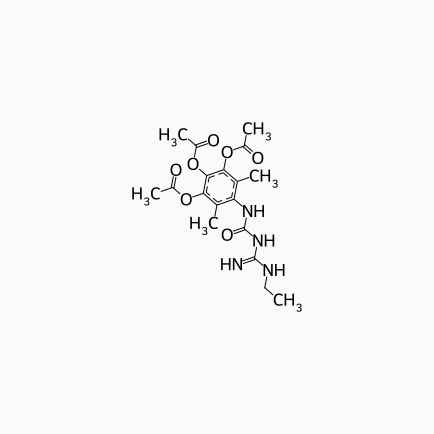 CCNC(=N)NC(=O)Nc1c(C)c(OC(C)=O)c(OC(C)=O)c(OC(C)=O)c1C